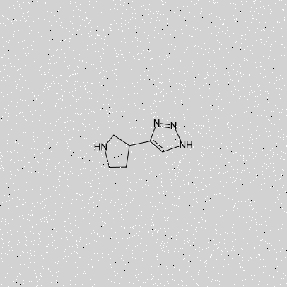 c1[nH]nnc1C1CCNC1